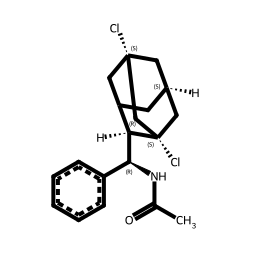 CC(=O)N[C@@H](c1ccccc1)[C@H]1C2C[C@H]3C[C@](Cl)(C2)C[C@@]1(Cl)C3